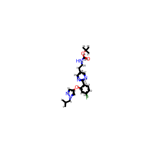 CC(C)Cn1cc(Oc2cc(F)ccc2-c2ncc(CCNC(=O)OC(C)(C)C)cn2)cn1